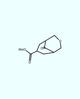 COC(=O)C1CC2COCC(C1)C2=O